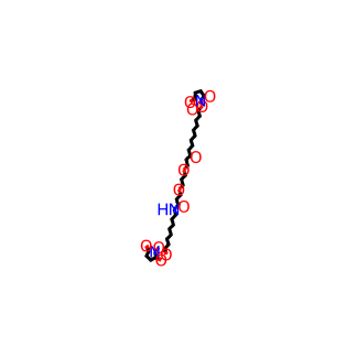 O=C(CCCCCCCCC(=O)ON1C(=O)CCC1=O)CCOCCCOCCC(=O)NCCCCCCCC(=O)ON1C(=O)CCC1=O